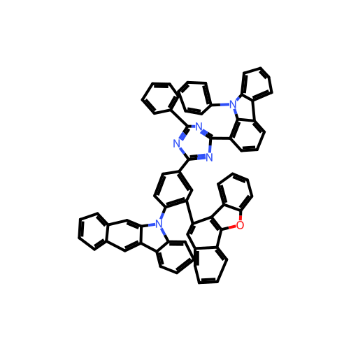 c1ccc(-c2nc(-c3ccc(-n4c5ccccc5c5cc6ccccc6cc54)c(-c4cc5ccccc5c5oc6ccccc6c45)c3)nc(-c3cccc4c5ccccc5n(-c5ccccc5)c34)n2)cc1